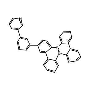 c1cncc(-c2cccc(-c3ccc4c(c3)-c3ccccc3B3c5ccccc5-c5ccccc5N34)c2)c1